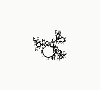 CC1(S(=O)(=O)NC(=O)[C@@]23C[C@H]2/C=C\CCCCC[C@H](Nc2cc(F)cc(C(F)(F)F)c2)C(=O)N2C[C@H](Oc4nc5ccccc5n4CC(F)(F)F)C[C@H]2C(=O)N3)CC1